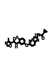 Cc1ncoc1C(=O)Nc1cc(Oc2ccc3nc(NC(=O)C4CC4)cn3n2)ccc1F